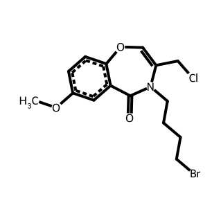 COc1ccc2c(c1)C(=O)N(CCCCBr)C(CCl)=CO2